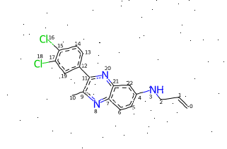 C=CCNc1ccc2nc(C)c(-c3ccc(Cl)c(Cl)c3)nc2c1